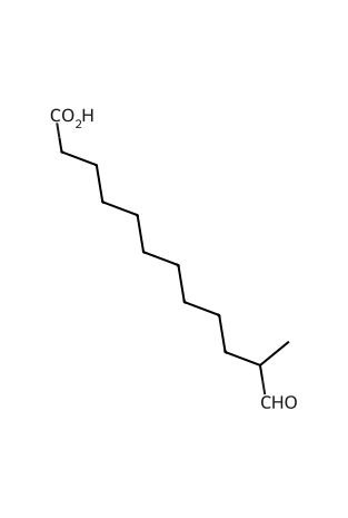 CC(C=O)CCCCCCCCCC(=O)O